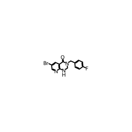 O=C1c2cc(Br)cnc2NCN1Cc1ccc(F)cc1